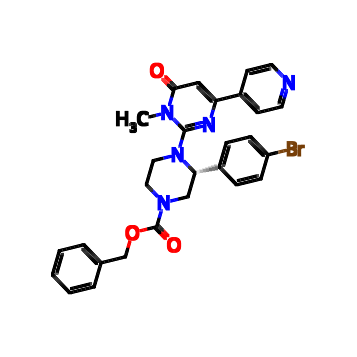 Cn1c(N2CCN(C(=O)OCc3ccccc3)C[C@H]2c2ccc(Br)cc2)nc(-c2ccncc2)cc1=O